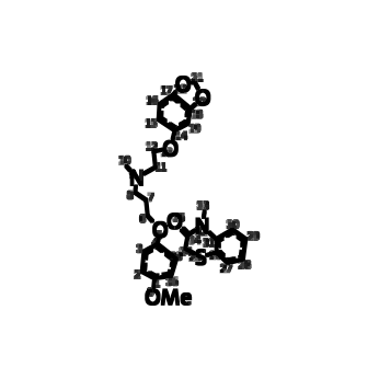 COc1ccc(OCCCN(C)CCOc2ccc3c(c2)OCO3)c([C@H]2Sc3ccccc3N(C)C2=O)c1